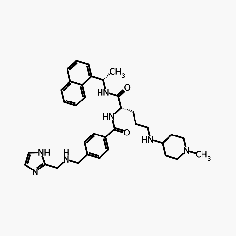 C[C@H](NC(=O)[C@H](CCCNC1CCN(C)CC1)NC(=O)c1ccc(CNCc2ncc[nH]2)cc1)c1cccc2ccccc12